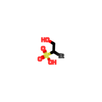 CC[C](CO)S(=O)(=O)O